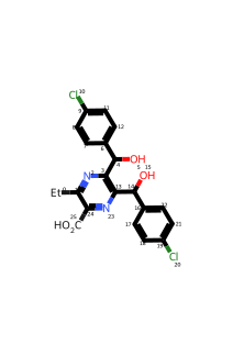 CCc1nc(C(O)c2ccc(Cl)cc2)c(C(O)c2ccc(Cl)cc2)nc1C(=O)O